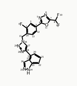 Fc1cc(-c2nnc(C(F)F)o2)ccc1Cn1cc(-c2cccc3[nH]ncc23)nn1